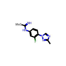 CSC(=N)Nc1ccc(-n2cnc(C)n2)c(F)c1